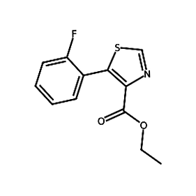 CCOC(=O)c1ncsc1-c1ccccc1F